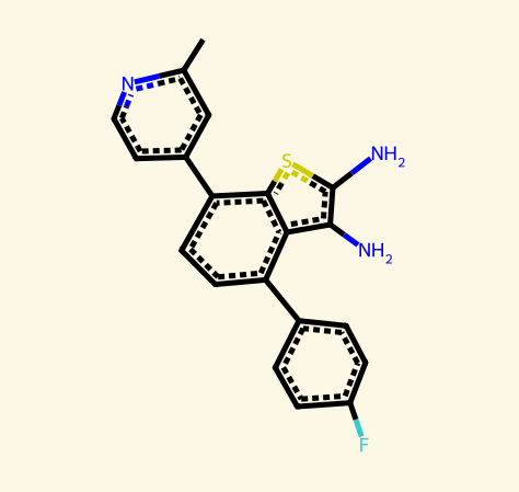 Cc1cc(-c2ccc(-c3ccc(F)cc3)c3c(N)c(N)sc23)ccn1